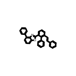 C(=Cc1cccc(-c2nc3c(-c4ccccc4)cccc3o2)c1-c1ccccc1)c1ccccc1